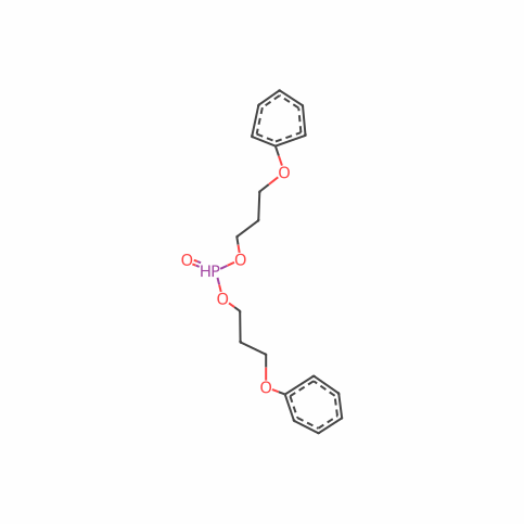 O=[PH](OCCCOc1ccccc1)OCCCOc1ccccc1